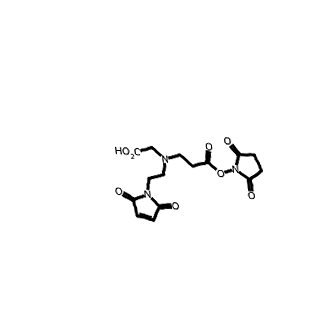 O=C(O)CN(CCC(=O)ON1C(=O)CCC1=O)CCN1C(=O)C=CC1=O